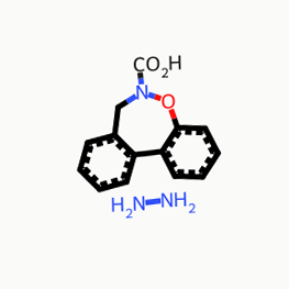 NN.O=C(O)N1Cc2ccccc2-c2ccccc2O1